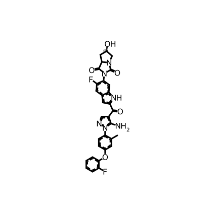 Cc1cc(Oc2ccccc2F)ccc1-n1ncc(C(=O)c2cc3cc(F)c(N4C(=O)C5C[C@@H](O)CN5C4=O)cc3[nH]2)c1N